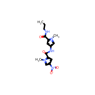 [CH2]CCNC(=O)c1cc(NC(=O)c2cc([N+](=O)[O-])cn2C)cn1C